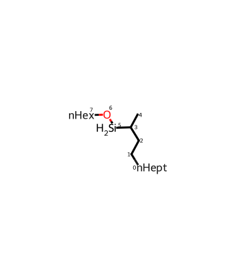 CCCCCCCCCC(C)[SiH2]OCCCCCC